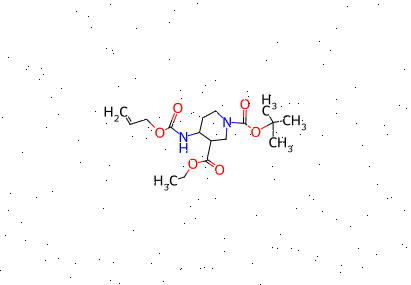 C=CCOC(=O)NC1CCN(C(=O)OC(C)(C)C)CC1C(=O)OCC